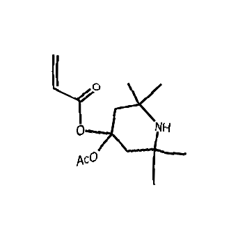 C=CC(=O)OC1(OC(C)=O)CC(C)(C)NC(C)(C)C1